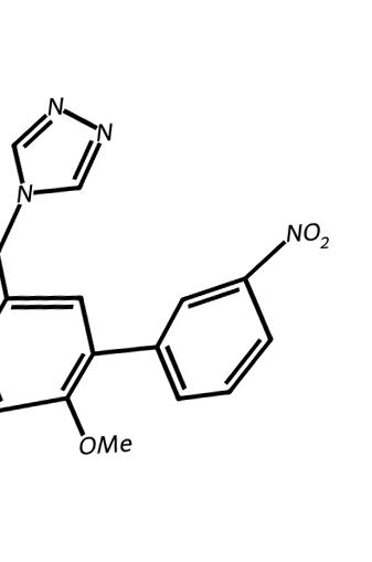 COc1ccc(Cn2cnnc2)cc1-c1cccc([N+](=O)[O-])c1